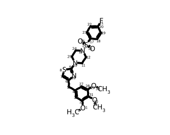 COc1cc(Cc2csc(N3CCN(S(=O)(=O)c4ccc(F)cc4)CC3)n2)cc(OC)c1OC